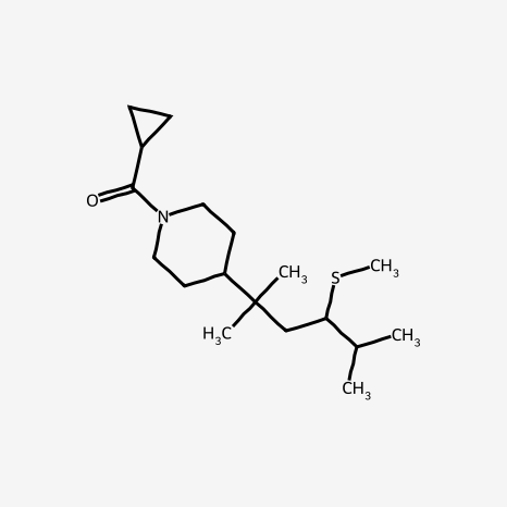 CSC(CC(C)(C)C1CCN(C(=O)C2CC2)CC1)C(C)C